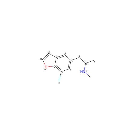 CNC(C)Cc1cc(F)c2occc2c1